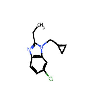 CCc1nc2ccc(Cl)cc2n1CC1CC1